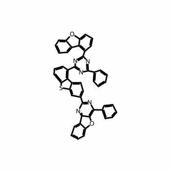 c1ccc(-c2nc(-c3cccc4oc5ccccc5c34)nc(-c3cccc4sc5cc(-c6nc(-c7ccccc7)c7oc8ccccc8c7n6)ccc5c34)n2)cc1